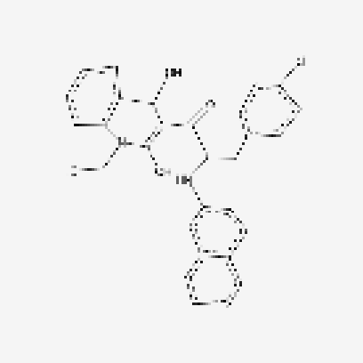 CCN1C(O)=C(C(=O)C(Cc2ccc(Cl)cc2)Nc2ccc3ccccc3c2)C(O)c2ccccc21